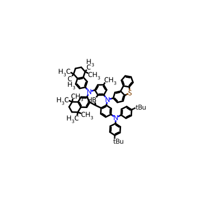 Cc1cc2c3c(c1)N(c1ccc4c(c1)C(C)(C)CCC4(C)C)c1cc4c(cc1C(B3)c1ccc(N(c3ccc(C(C)(C)C)cc3)c3ccc(C(C)(C)C)cc3)cc1N2c1ccc2sc3ccccc3c2c1)C(C)(C)CCC4(C)C